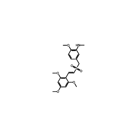 CNc1cc(CS(=O)(=O)C=Cc2c(OC)cc(OC)cc2OC)ccc1OC